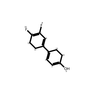 OC1=CC=C(C2=CC(F)=C(F)CC2)CC1